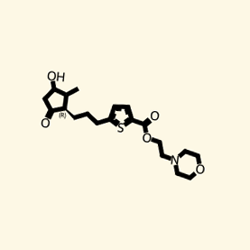 CC1C(O)CC(=O)[C@@H]1CCCc1ccc(C(=O)OCCN2CCOCC2)s1